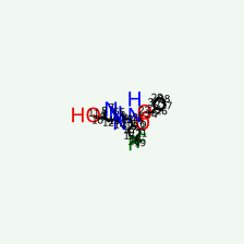 O=C(N[C@H](c1cn2ncc(CO)cc2n1)C1CCC(F)(F)CC1)OCc1ccccc1